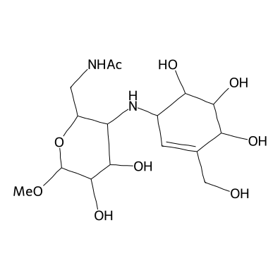 COC1OC(CNC(C)=O)C(NC2C=C(CO)C(O)C(O)C2O)C(O)C1O